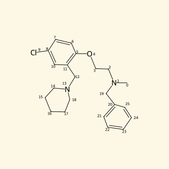 CN(CCOc1ccc(Cl)cc1CN1CCCCC1)Cc1ccccc1